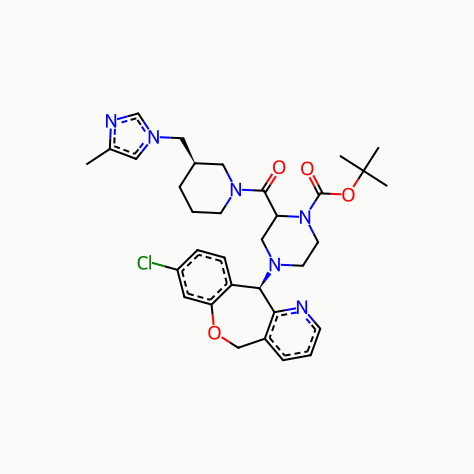 Cc1cn(C[C@@H]2CCCN(C(=O)C3CN([C@@H]4c5ccc(Cl)cc5OCc5cccnc54)CCN3C(=O)OC(C)(C)C)C2)cn1